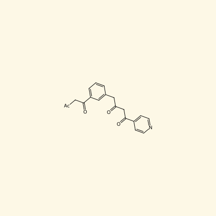 CC(=O)CC(=O)c1cccc(CC(=O)CC(=O)c2ccncc2)c1